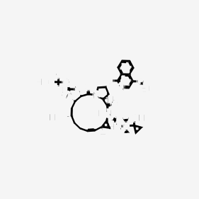 CCOc1cnc(O[C@@H]2C[C@H]3C(=O)N[C@]4(C(=O)NS(=O)(=O)C5(C)CC5)C[C@H]4/C=C\CC[C@@H](C)C[C@@H](C)[C@H](NC(=O)OC(C)(C)C(F)(F)F)C(=O)N3C2)c2ccccc12